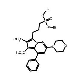 CCOC(=O)c1c(C(=O)OCC)c2c(-c3ccccc3)cc(N3CCOCC3)nn2c1CCCP(=O)(OCC)OCC